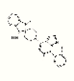 Cc1nc(N2CCC3(CC2)[C@H](N)c2ccccc2N3C)c2ccnn2c1-c1ccccc1F